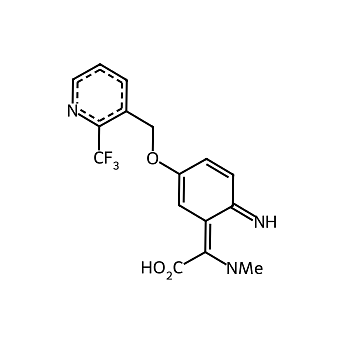 CN/C(C(=O)O)=C1/C=C(OCc2cccnc2C(F)(F)F)C=CC1=N